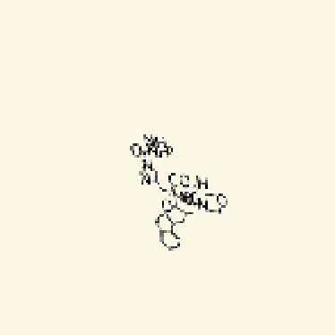 NNC(=O)n1cnc(C[C@H](NC(=O)C(CC(=O)N2CCOCC2)Cc2cccc3ccccc23)C(=O)O)c1